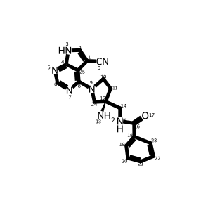 N#Cc1c[nH]c2ncnc(N3CC[C@](N)(CNC(=O)c4ccccc4)C3)c12